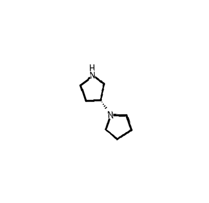 C1CCN([C@@H]2CCNC2)C1